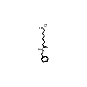 O=C(CCCCCCNCl)NOCc1ccccc1